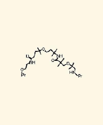 CC(C)NCC(C)(C)OCC(C)(C)C(=O)NC(C)(C)CCOC(C)(C)CCC(=O)NCCOC(C)C